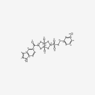 O=C(c1ccc2[nH]nnc2c1)N1C[C@@H]2CN(S(=O)(=O)CCc3cccc(Cl)c3)C[C@@H]2C1